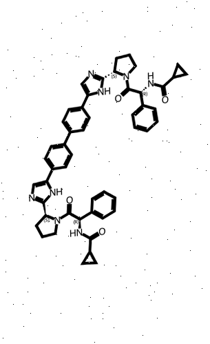 O=C(N[C@@H](C(=O)N1CCC[C@H]1c1ncc(-c2ccc(-c3ccc(-c4cnc([C@@H]5CCCN5C(=O)[C@H](NC(=O)C5CC5)c5ccccc5)[nH]4)cc3)cc2)[nH]1)c1ccccc1)C1CC1